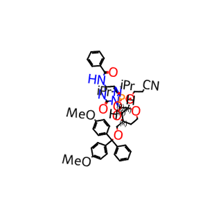 COc1ccc(C(OC[C@@]23CCO[C@@H]([C@H](n4ccc(NC(=O)c5ccccc5)nc4=O)O2)[C@@H]3OP(OCCC#N)N(C(C)C)C(C)C)(c2ccccc2)c2ccc(OC)cc2)cc1